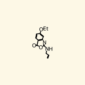 C=CCNc1nc2cc(OCC)ccc2c(=O)o1